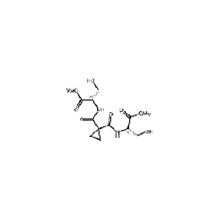 COC(=O)[C@H](CO)NC(=O)C1(C(=O)N[C@@H](CO)C(=O)OC)CC1